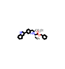 CCOC(=O)[C@H](Cc1ccc(-c2cnc3ccccc3c2)cc1)N[C@@H](CC(C)C)C(=O)OCc1ccccc1